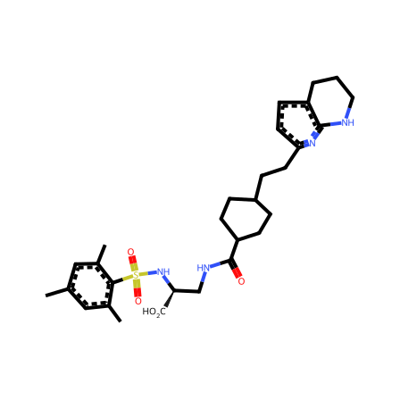 Cc1cc(C)c(S(=O)(=O)N[C@@H](CNC(=O)C2CCC(CCc3ccc4c(n3)NCCC4)CC2)C(=O)O)c(C)c1